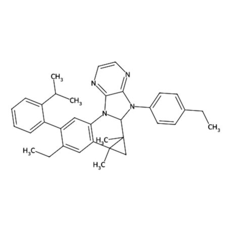 CCc1ccc(N2c3nccnc3N3c4cc(-c5ccccc5C(C)C)c(CC)cc4C4(C)CC4(C)C23)cc1